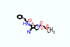 COCCOC(=O)N1CCc2c(sc(NC(=O)C=Cc3ccccc3)c2C#N)C1